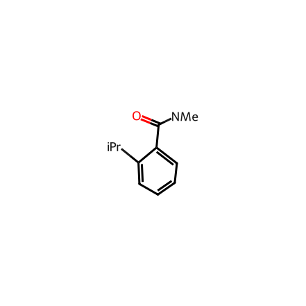 CNC(=O)c1ccccc1C(C)C